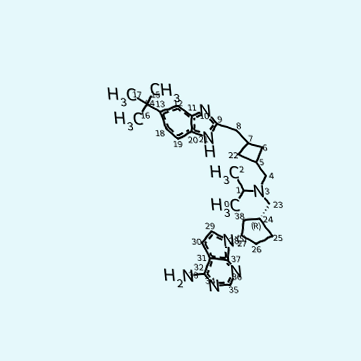 CC(C)N(CC1CC(Cc2nc3cc(C(C)(C)C)ccc3[nH]2)C1)C[C@@H]1CC[C@H](n2ccc3c(N)ncnc32)C1